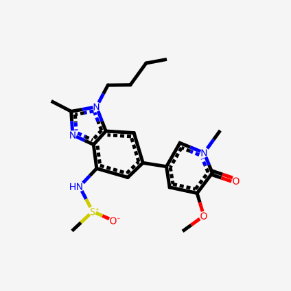 CCCCn1c(C)nc2c(N[S+](C)[O-])cc(-c3cc(OC)c(=O)n(C)c3)cc21